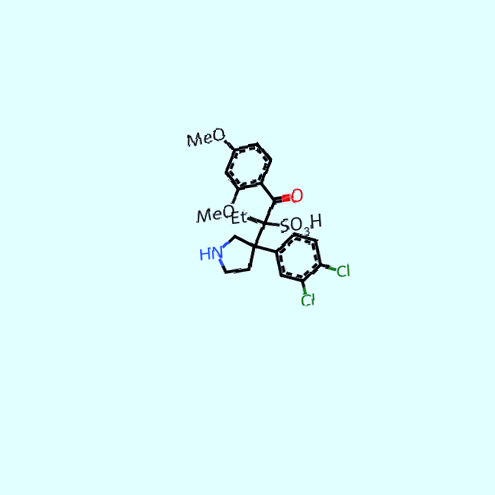 CCC(C(=O)c1ccc(OC)cc1OC)(C1(c2ccc(Cl)c(Cl)c2)CCNC1)S(=O)(=O)O